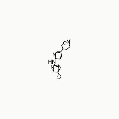 COc1cnc(Nc2ccc(C3CCN(C)CC3)cn2)nc1